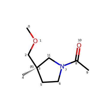 COC[C@]1(C)CCN(C(C)=O)C1